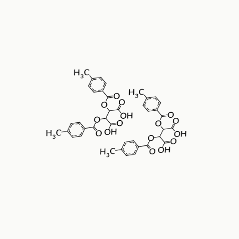 Cc1ccc(C(=O)OC(C(=O)O)C(OC(=O)c2ccc(C)cc2)C(=O)O)cc1.Cc1ccc(C(=O)OC(C(=O)O)C(OC(=O)c2ccc(C)cc2)C(=O)O)cc1